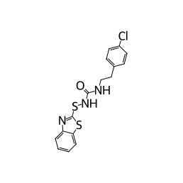 O=C(NCCc1ccc(Cl)cc1)NSc1nc2ccccc2s1